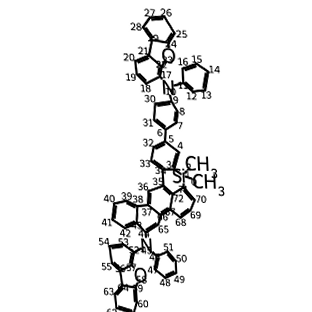 C[Si]1(C)c2cc(-c3ccc(N(c4ccccc4)c4cccc5c4oc4ccccc45)cc3)ccc2-c2cc3c4ccccc4c(N(c4ccccc4)c4cccc5c4oc4ccccc45)cc3c3cccc1c23